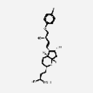 CCCC(CC[C@H]1CC[C@@H]2[C@@H](/C=C/[C@@H](O)COc3ccc(F)cc3)[C@H](O)C[C@@H]2S1)C(=O)O